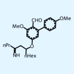 CCCCCCC(CC(=N)CCC)Oc1cc(OC)c(C=O)c(-c2ccc(OC)cc2)c1